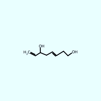 C=CC(O)C/C=C/CCO